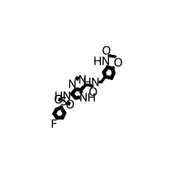 O=C1COc2ccc(CNC(=O)c3ncnc4c(NS(=O)(=O)c5ccc(F)cc5)c[nH]c34)cc2N1